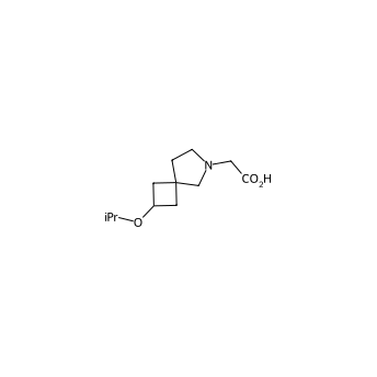 CC(C)OC1CC2(CCN(CC(=O)O)C2)C1